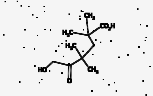 CC(C)(CC(C)(C)C(=O)CO)C(=O)O